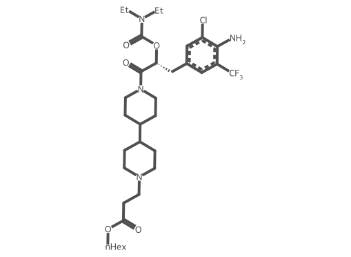 CCCCCCOC(=O)CCN1CCC(C2CCN(C(=O)[C@@H](Cc3cc(Cl)c(N)c(C(F)(F)F)c3)OC(=O)N(CC)CC)CC2)CC1